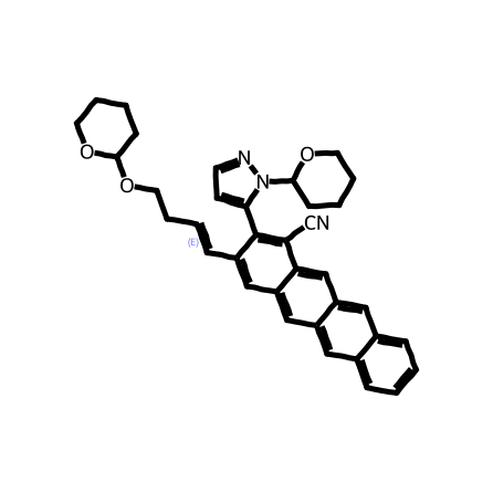 N#Cc1c(-c2ccnn2C2CCCCO2)c(/C=C/CCOC2CCCCO2)cc2cc3cc4ccccc4cc3cc12